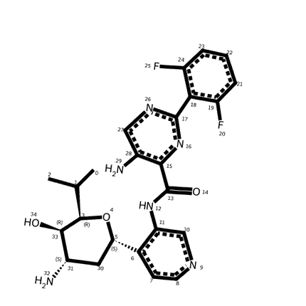 CC(C)[C@H]1O[C@H](c2ccncc2NC(=O)c2nc(-c3c(F)cccc3F)ncc2N)C[C@H](N)[C@H]1O